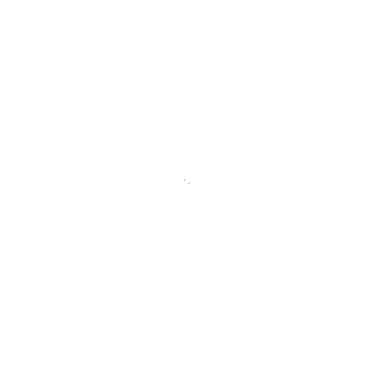 O=C(O)/C=C(/C(=O)N[C@H]1CC[C@@H](CC(=O)O)OB1O)c1cccs1